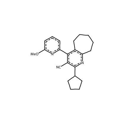 COc1cccc(-c2c(C#N)c(C3CCCC3)nc3c2CCCCC3)n1